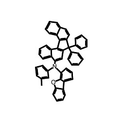 Cc1cccc(N(c2cc3c(c4ccccc24)-c2c(ccc4ccccc24)C3(c2ccccc2)c2ccccc2)c2cccc3c2oc2ccccc23)c1